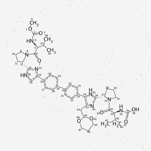 COC(=O)N[C@H](C(=O)N1CCC[C@H]1c1nc(-c2ccc(-c3ccc(-c4[nH]c([C@@H]5CCCN5C(=O)[C@@H](NC(=O)O)C(C)C)nc4CC4OCCCO4)cc3)cc2)c[nH]1)C(C)C